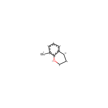 CC(C)(C)c1cccc2c1OCCC2